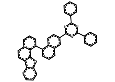 c1ccc(-c2nc(-c3ccccc3)nc(-c3ccc4c(-c5cccc6ccc7c8ncccc8sc7c56)cccc4c3)n2)cc1